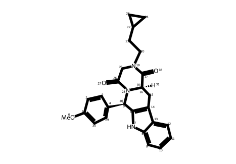 COc1ccc([C@@H]2c3[nH]c4ccccc4c3C[C@@H]3C(=O)N(CCC4CC4)CC(=O)N23)cc1